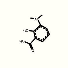 C[As](C)c1cccc(C(=O)O)c1O